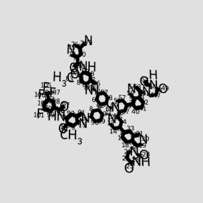 COc1cc2nn([C@H]3CC[C@H](CN4CCC(c5ccc6c(N7CCC(=O)NC7=O)cncc6c5)CC4C4CC(c5cccc6c(N7CCC(=O)NC7=O)cncc56)CCN4C[C@H]4CC[C@H](n5cc6cc(NC(=O)c7cncc(C#N)c7)c(OC)cc6n5)CC4)CC3)cc2cc1NC(=O)c1cc(F)cc(C(F)(F)F)c1